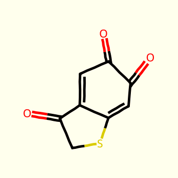 O=C1C=C2SCC(=O)C2=CC1=O